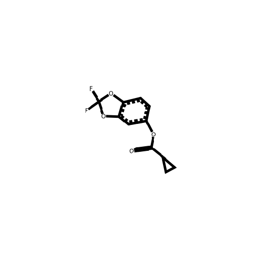 O=C(Oc1ccc2c(c1)OC(F)(F)O2)C1CC1